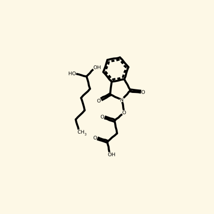 CCCCCC(O)O.O=C(O)CC(=O)ON1C(=O)c2ccccc2C1=O